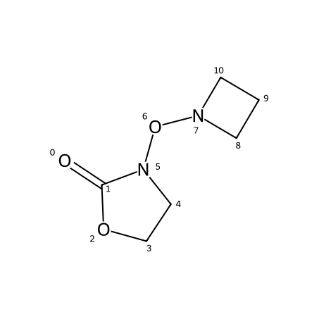 O=C1OCCN1ON1CCC1